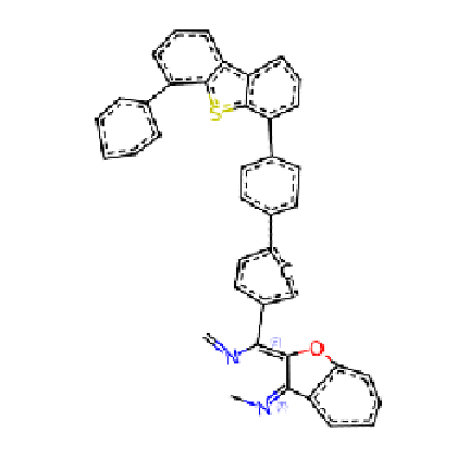 C=N/C(=C1/Oc2ccccc2/C1=N/C)c1ccc(-c2ccc(-c3cccc4c3sc3c(-c5ccccc5)cccc34)cc2)cc1